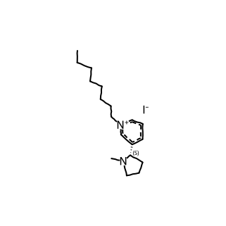 CCCCCCCC[n+]1cccc([C@@H]2CCCN2C)c1.[I-]